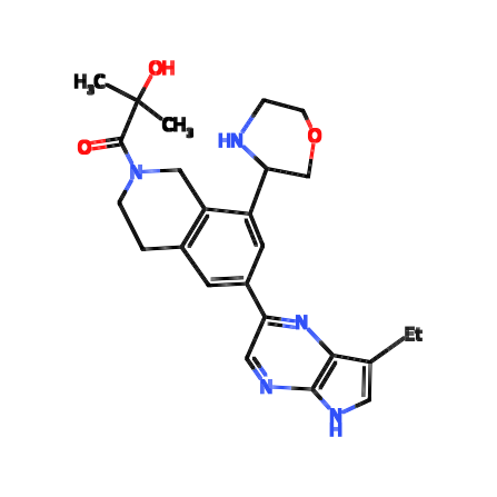 CCc1c[nH]c2ncc(-c3cc4c(c(C5COCCN5)c3)CN(C(=O)C(C)(C)O)CC4)nc12